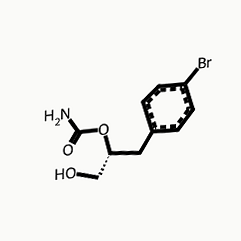 NC(=O)O[C@@H](CO)Cc1ccc(Br)cc1